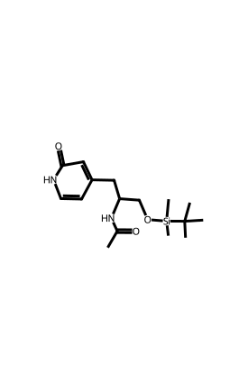 CC(=O)NC(CO[Si](C)(C)C(C)(C)C)Cc1cc[nH]c(=O)c1